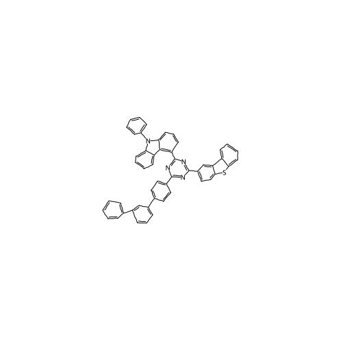 c1ccc(-c2cccc(-c3ccc(-c4nc(-c5ccc6sc7ccccc7c6c5)nc(-c5cccc6c5c5ccccc5n6-c5ccccc5)n4)cc3)c2)cc1